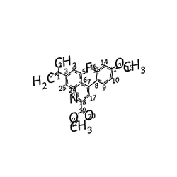 C=C(C)c1ccc2c(-c3ccc(OC)cc3F)cc(C(=O)OC)nc2c1